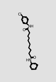 O=C(CCCCCCCCC(=O)Nc1ccc(Cl)cc1)Nc1cc[c]cc1